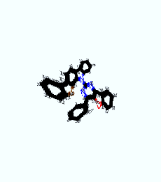 c1ccc(-c2nc(-n3c4ccccc4c4ccc5c6ccccc6sc5c43)nc3c2oc2ccccc23)cc1